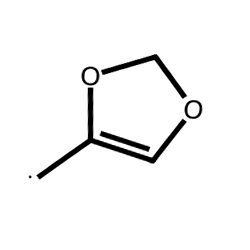 [CH2]C1=COCO1